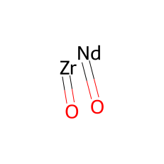 [O]=[Nd].[O]=[Zr]